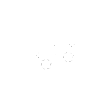 O=[N+]([O-])c1ccccc1OP(=O)(O)Oc1ccccc1[N+](=O)[O-]